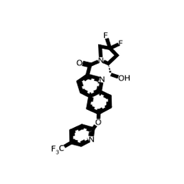 O=C(c1ccc2cc(Oc3ccc(C(F)(F)F)cn3)ccc2n1)N1CC(F)(F)C[C@@H]1CO